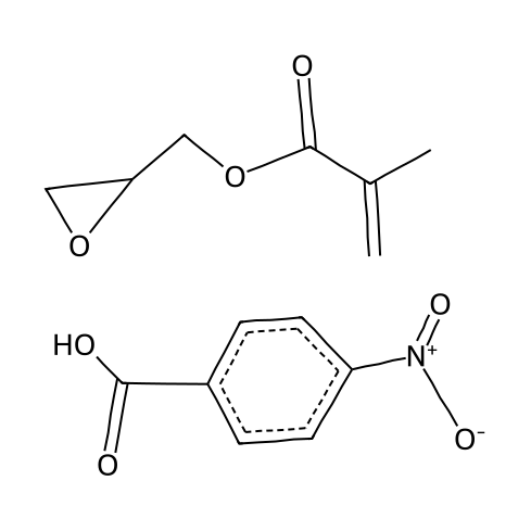 C=C(C)C(=O)OCC1CO1.O=C(O)c1ccc([N+](=O)[O-])cc1